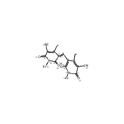 [C-]#[N+]C1=C(C)/C(=C/c2c(C)c(C#N)c(=O)n(CC)c2O)C(=O)N(CC)C1=O